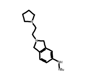 CCCCNc1ccc2c(c1)CN(CCN1CCCC1)C2